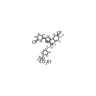 CCOC(=O)C(C)(C)Oc1ccc(CCN(Cc2ccc(C(F)(F)F)cc2)c2nc(-c3cccc(Cl)c3)cs2)cc1